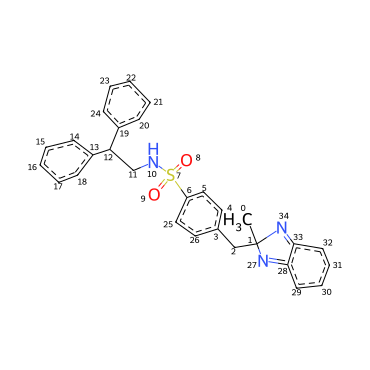 CC1(Cc2ccc(S(=O)(=O)NCC(c3ccccc3)c3ccccc3)cc2)N=c2ccccc2=N1